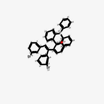 Brc1cccc(/C=C(\c2cccc(Br)c2)c2ccccc2-c2ccccc2P(c2ccccc2)c2ccccc2)c1